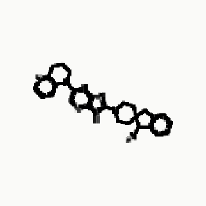 N[C@@H]1c2ccccc2CC12CCN(c1nc3nc(N4CCCc5ncccc54)cnc3[nH]1)CC2